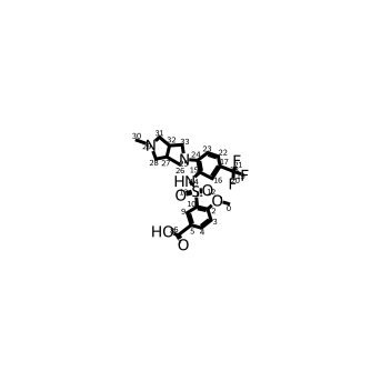 COc1ccc(C(=O)O)cc1S(=O)(=O)Nc1cc(C(F)(F)F)ccc1N1CC2CN(C)CC2C1